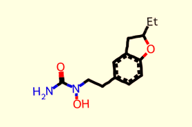 CCC1Cc2cc(CCN(O)C(N)=O)ccc2O1